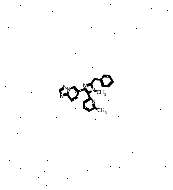 Cc1cccc(-c2c(-c3ccc4ncnn4c3)nc(Cc3ccccc3)n2C)n1